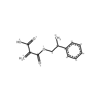 C=C(C(=O)O)C(=O)OCC(C)c1ccccc1